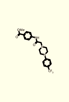 COC(=O)c1ccc(NC(=O)CN2CCN(c3ccc(C(F)(F)F)cc3)CC2)cc1